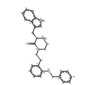 O=C1[C@@H](Cc2c[nH]c3ccccc23)NCCN1CCc1ccccc1OCc1ccccc1